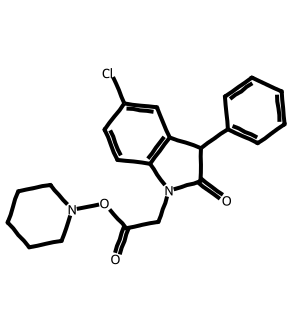 O=C(CN1C(=O)C(c2ccccc2)c2cc(Cl)ccc21)ON1CCCCC1